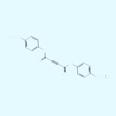 CCOC(=O)c1ccc(OC(=O)C#CC(=O)Oc2ccc(C(=O)OCC)cc2)cc1